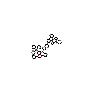 c1ccc(-c2ccc(-c3ccccc3N(c3ccc4c(c3)C(c3ccccc3)(c3ccccc3)c3ccccc3-4)c3ccc4cc(-c5ccc6c(c5)C5(c7ccccc7-6)c6ccccc6-n6c7ccccc7c7cccc5c76)ccc4c3)cc2)cc1